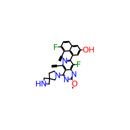 C#Cc1c(F)ccc2cc(O)cc(-c3nc(C#C)c4c(N5CCC6(CNC6)C5)nc(OC)nc4c3F)c12